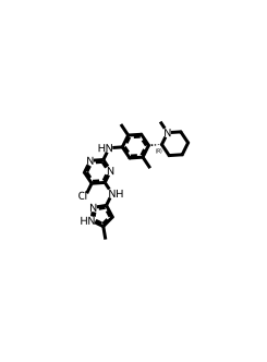 Cc1cc(Nc2nc(Nc3cc(C)c([C@H]4CCCCN4C)cc3C)ncc2Cl)n[nH]1